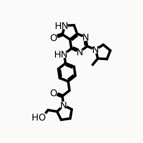 CC1CCCN1c1nc2c(c(Nc3ccc(CC(=O)N4CCCC4CO)cc3)n1)C(=O)NC2